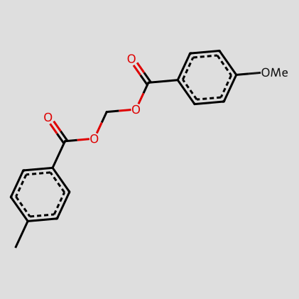 COc1ccc(C(=O)OCOC(=O)c2ccc(C)cc2)cc1